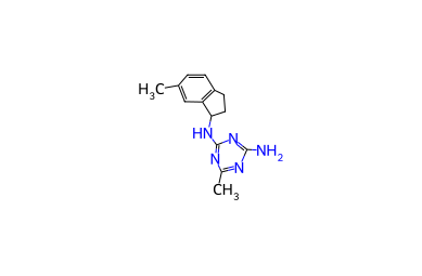 Cc1ccc2c(c1)C(Nc1nc(C)nc(N)n1)CC2